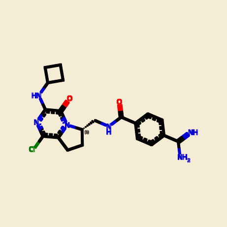 N=C(N)c1ccc(C(=O)NC[C@@H]2CCc3c(Cl)nc(NC4CCC4)c(=O)n32)cc1